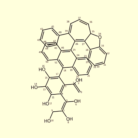 C=C(O)c1c(/C(O)=C(/O)CO)c(O)c(O)c(O)c1-c1c2ccccc2c(C2=C3c4ccccc4OC3C=CC=C2c2ccccc2)c2ccccc12